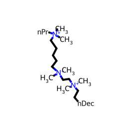 CCCCCCCCCCCC[N+](C)(C)CC[N+](C)(C)CCCCC[N+](C)(C)CCC